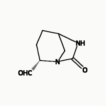 O=C[C@@H]1CCC2CN1C(=O)N2